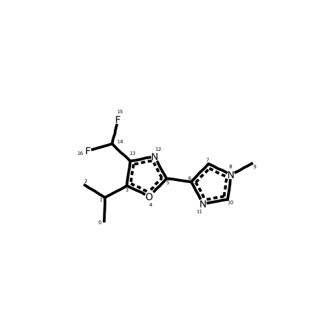 CC(C)c1oc(-c2cn(C)cn2)nc1C(F)F